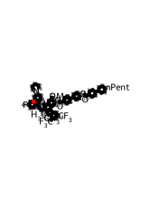 CCCCCC1CCC(C2CCC(C(=O)Oc3ccc(-c4ccc(C(=O)Oc5cc6c7c(c8c(c6cc5OC)OC(c5ccc(F)cc5)(c5ccc(N6CCCCC6)cc5)C=C8)C(C)(C)c5c-7cc(C(F)(F)F)cc5C(F)(F)F)cc4)cc3)CC2)CC1